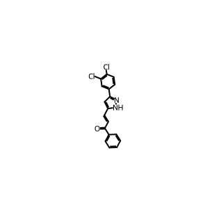 O=C(/C=C/c1cc(-c2ccc(Cl)c(Cl)c2)n[nH]1)c1ccccc1